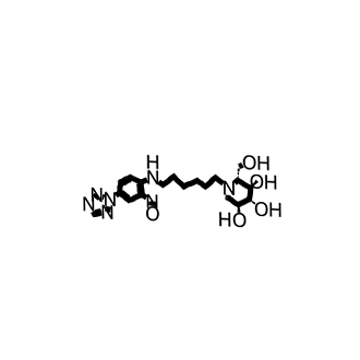 O=Nc1cc(-n2ncnn2)ccc1NCCCCCCN1C[C@H](O)[C@@H](O)[C@H](O)[C@H]1CO